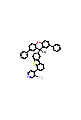 Cc1cnccc1-c1cccc2c1sc1ccc(C3(C)c4cc(-c5ccccc5)ccc4Oc4ccc(-c5ccccc5)cc43)cc12